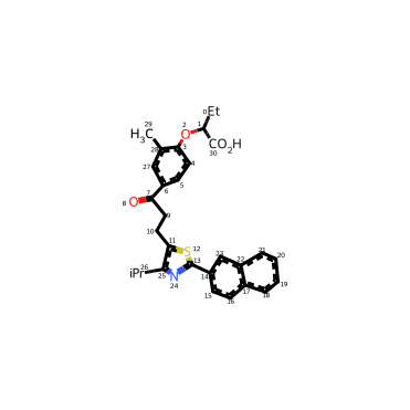 CCC(Oc1ccc(C(=O)CCc2sc(-c3ccc4ccccc4c3)nc2C(C)C)cc1C)C(=O)O